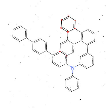 c1ccc(-c2ccc(-c3ccc(N(c4ccccc4)c4cccc(-c5cccc(-c6ccccc6)c5-c5ccccc5-c5ccccc5)c4)cc3)cc2)cc1